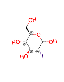 OC[C@H]1OC(O)[C@H](I)[C@@H](O)[C@@H]1O